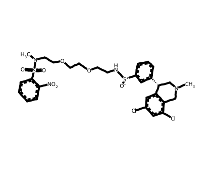 CN1Cc2c(Cl)cc(Cl)cc2[C@H](c2cccc([S+]([O-])NCCOCCOCCN(C)S(=O)(=O)c3ccccc3[N+](=O)[O-])c2)C1